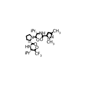 Cc1cc(C(=O)N[C@H](C(=O)N2CCC[C@H]2C(=O)N[C@H](C(=O)C(F)(F)F)C(C)C)C(C)C)n(C)n1